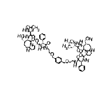 CC[C@H](NC)C(=O)N[C@@H]1C(=O)N2[C@@H](CC[C@@H]1CO)CC[C@H]2C(=O)N[C@H](C(=O)NCCOCc1ccc(COCCNC(=O)[C@@H](NC(=O)[C@@H]2CC[C@@H]3CC[C@H](CO)[C@H](NC(=O)[C@H](CC)NC)C(=O)N32)c2ccccc2)cc1)c1ccccc1